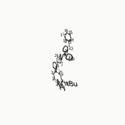 [2H]N1CCC(OC2CN(C(=O)OCc3ccccc3)C2)CC1C(C)(C)C